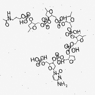 CC(=O)NCCCOP(=O)(O)OC1CC(C)OC1COP(=O)(O)OC1CC(C)OC1COP(=O)(O)OC1CC(C)OC1COP(=O)(O)OC1CC(C)OC1COP(=O)(O)OC1CCOC1COP(=O)(O)OC1CC(n2ccc(N)nc2=O)OC1COP(=O)(O)O